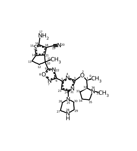 C[C@H](Oc1nc(-c2noc(C3(C)CCc4sc(N)c(C#N)c43)n2)cc(N2CCNCC2)n1)[C@@H]1CCCN1C